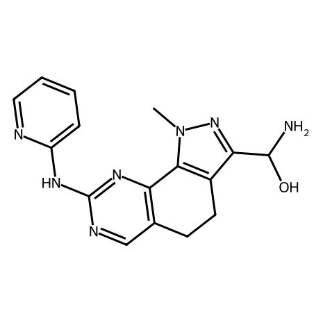 Cn1nc(C(N)O)c2c1-c1nc(Nc3ccccn3)ncc1CC2